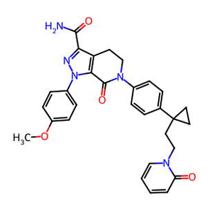 COc1ccc(-n2nc(C(N)=O)c3c2C(=O)N(c2ccc(C4(CCn5ccccc5=O)CC4)cc2)CC3)cc1